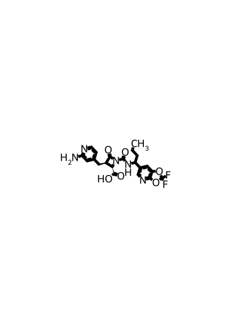 CCCC(NC(=O)N1C(=O)[C@H](Cc2ccnc(N)c2)[C@H]1C(=O)O)c1cnc2c(c1)OC(F)(F)O2